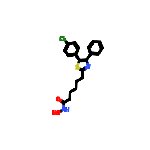 O=C(CCCCCc1nc(-c2ccccc2)c(-c2ccc(Cl)cc2)s1)NO